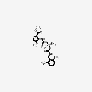 COC(=O)c1scc(C)c1NC(=O)C[N+](C)(C)CC(=O)NCc1c(C)cccc1C